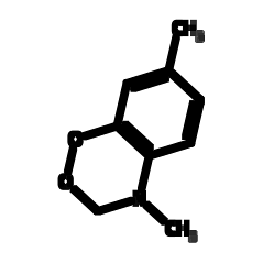 Cc1ccc2c(c1)OOCN2C